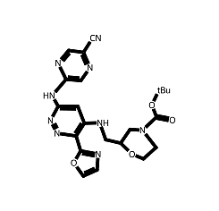 CC(C)(C)OC(=O)N1CCOC(CNc2cc(Nc3cnc(C#N)cn3)nnc2-c2ncco2)C1